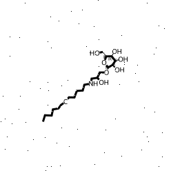 CCCCCCCCCCCCNCC(O)CO[C@@H]1O[C@H](CO)[C@H](O)[C@H](O)[C@H]1O